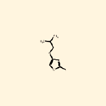 CC(C)COc1coc(I)n1